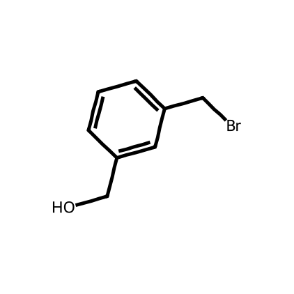 OCc1cccc(CBr)c1